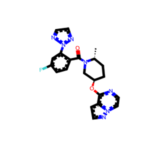 C[C@@H]1CC[C@@H](Oc2nccn3nccc23)CN1C(=O)c1ccc(F)cc1-n1nccn1